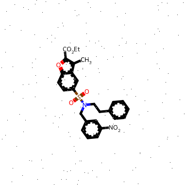 CCOC(=O)c1oc2ccc(S(=O)(=O)N(CCc3ccccc3)Cc3cccc([N+](=O)[O-])c3)cc2c1C